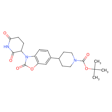 CC(C)(C)OC(=O)N1CCC(c2ccc3c(c2)oc(=O)n3C2CCC(=O)NC2=O)CC1